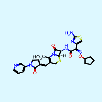 Nc1nc(/C(=N/OC2CCCC2)C(=O)N[C@@H]2C(=O)N3C(C(=O)O)=C(C=C4CCN(c5cccnc5)C4=O)CS[C@H]23)cs1